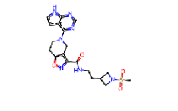 CS(=O)(=O)N1CC(CCNC(=O)c2noc3c2CN(c2ncnc4[nH]ccc24)CC3)C1